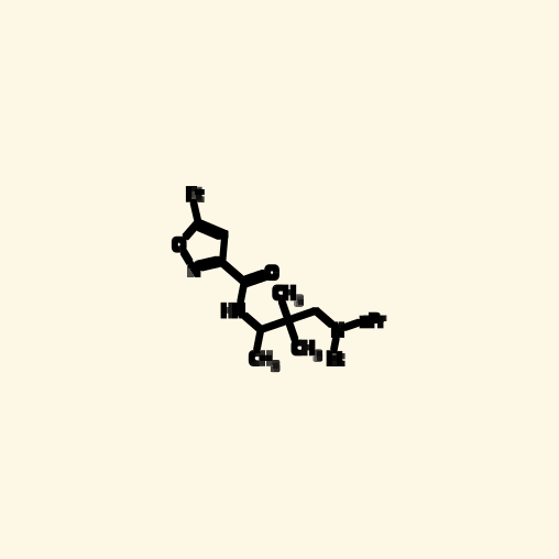 CCCN(CC)CC(C)(C)C(C)NC(=O)c1cc(CC)on1